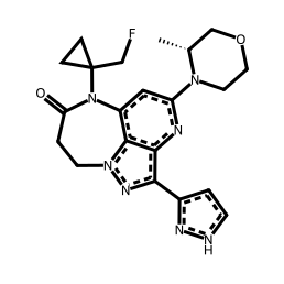 C[C@@H]1COCCN1c1cc2c3c(n1)c(-c1cc[nH]n1)nn3CCC(=O)N2C1(CF)CC1